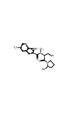 CC(C)CC(C(=O)N1CCCC1C#N)N(C)C(=O)c1cc2cc(C(F)(F)F)cnc2[nH]1